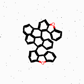 c1ccc(-c2ccc3oc4ccccc4c3c2-c2c3ccccc3c(-c3cccc4oc5ccccc5c34)c3ccccc23)cc1